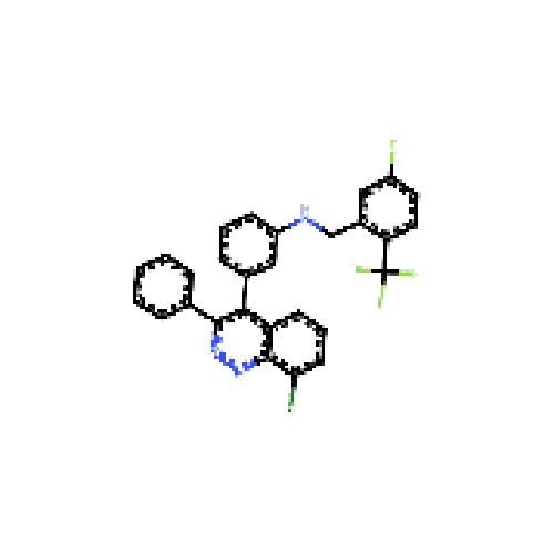 Fc1ccc(C(F)(F)F)c(CNc2cccc(-c3c(-c4ccccc4)nnc4c(Cl)cccc34)c2)c1